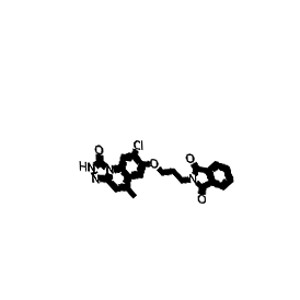 Cc1cc2n[nH]c(=O)n2c2cc(Cl)c(OCCCN3C(=O)c4ccccc4C3=O)cc12